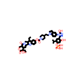 CCc1c2c(nc3ccc(OC(=O)N4CCC(CCn5ccc6cc(-n7c(O)nnc7-c7cc(C(C)C)c(OP(=O)(O)O)cc7O)ccc65)CC4)cc13)-c1cc3c(c(=O)n1C2)COC(=O)C3(O)CC